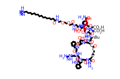 CCCC[C@H](NC(=O)[C@H](CN(CC(=O)O)CC(=O)O)NC(=O)[C@H](Cc1ccc(O)cc1)NC(=O)[C@H](CCC(N)=O)NC(=O)[C@H](CO)NC(=O)CNC(=O)COCCOCCNC(=O)CCCCCCCCCCCCCCCc1nnn[nH]1)C(=O)N[C@H]1CCC(=O)CCCCC[C@@H](C(N)=O)NC(=O)[C@H](Cc2c[nH]c3ccccc23)NC(=O)[C@H](CCCNC(=N)N)NC(=O)[C@@H](Cc2ccccc2)NC(=O)[C@@H]2C[C@@H](O)CN2C1=O